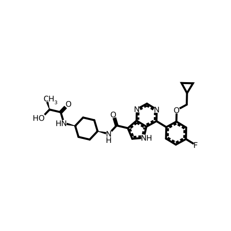 C[C@H](O)C(=O)N[C@H]1CC[C@@H](NC(=O)c2c[nH]c3c(-c4ccc(F)cc4OCC4CC4)ncnc23)CC1